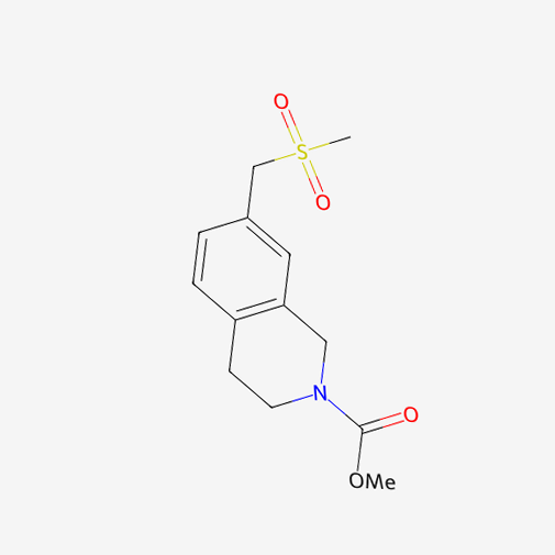 COC(=O)N1CCc2ccc(CS(C)(=O)=O)cc2C1